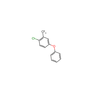 FC(F)(F)c1cc(Oc2ccccc2)ccc1Cl